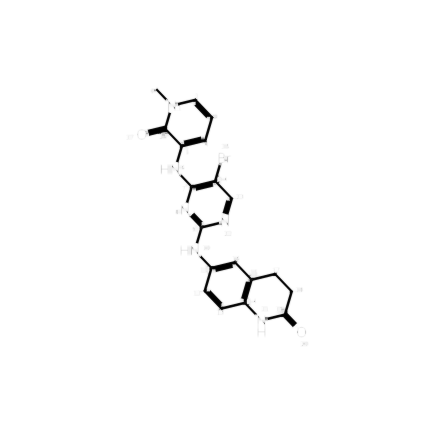 Cn1cccc(Nc2nc(Nc3ccc4c(c3)CCC(=O)N4)ncc2Br)c1=O